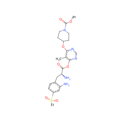 CCS(=O)(=O)c1ccc(C[C@H](N)C(=O)Oc2ncnc(OC3CCN(C(=O)OC(C)C)CC3)c2C)c(N)c1